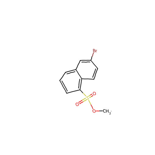 [CH2]OS(=O)(=O)c1cccc2cc(Br)ccc12